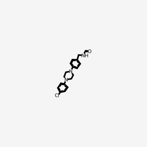 O=CNCc1ccc(N2CCN(c3ccc(Cl)cc3)CC2)cc1